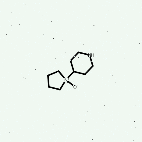 [O-][N+]1(C2CCNCC2)CCCC1